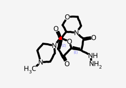 CN1CCN(C(=O)O/C2=C(/NN)C(=O)N3CCOCC3/C=C\C2=O)CC1